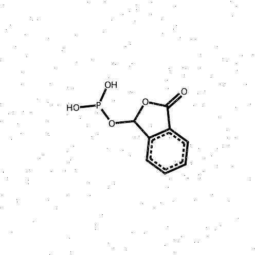 O=C1OC(OP(O)O)c2ccccc21